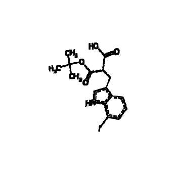 CC(C)(C)OC(=O)C(Cc1c[nH]c2c(I)cccc12)C(=O)O